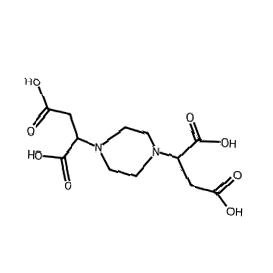 O=C(O)CC(C(=O)O)N1CCN(C(CC(=O)O)C(=O)O)CC1